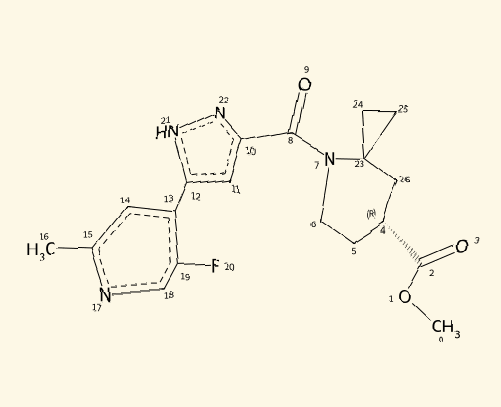 COC(=O)[C@@H]1CCN(C(=O)c2cc(-c3cc(C)ncc3F)[nH]n2)C2(CC2)C1